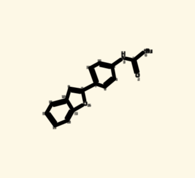 CC(C)(C)C(=O)Nc1ccc(-c2cc3ccccc3o2)cc1